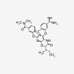 CCC(C)C1Oc2nc(Oc3cccc(C(=O)N(C)C)c3)nc(Oc3cc(C(=N)N)ccc3C)c2NC1=O